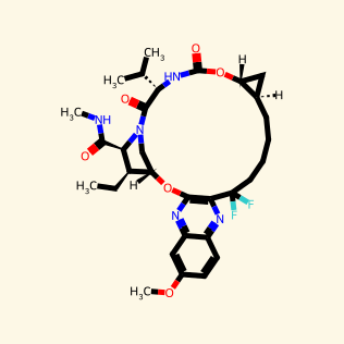 CC[C@@H]1[C@@H]2CN(C(=O)[C@H](C(C)C)NC(=O)O[C@@H]3C[C@H]3CCCCC(F)(F)c3nc4ccc(OC)cc4nc3O2)[C@@H]1C(=O)NC